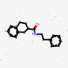 O=C(NCCc1ccccc1)C1CCc2ccccc2C1